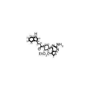 CCOC(=O)c1csc2nc(N)nc(N3CCN(C(=O)CCc4c[nH]c5ccccc45)CC3)c12